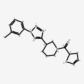 Cc1cccc(-n2nnc(C3CCCN(C(=O)C4CC=CS4)C3)n2)c1